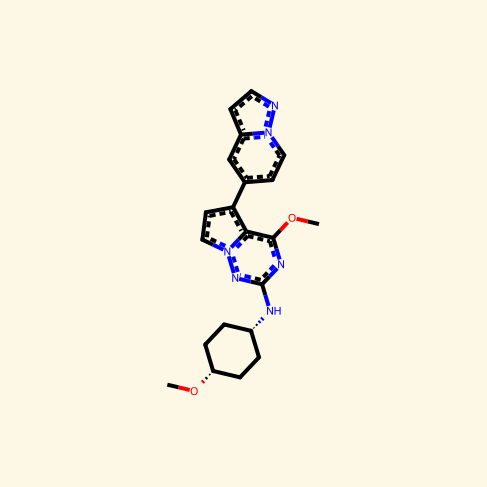 COc1nc(N[C@H]2CC[C@@H](OC)CC2)nn2ccc(-c3ccn4nccc4c3)c12